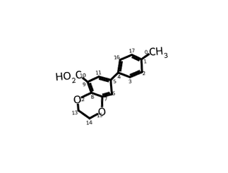 Cc1ccc(-c2cc3c(c(C(=O)O)c2)OCCO3)cc1